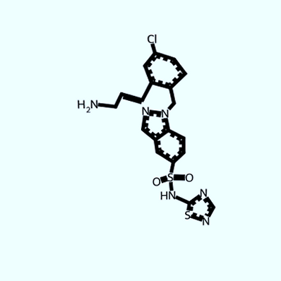 NCC=Cc1cc(Cl)ccc1Cn1ncc2cc(S(=O)(=O)Nc3ncns3)ccc21